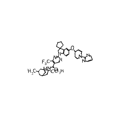 CC1CC2CC(C1)C(NC(=O)c1cnc(N3CC4(CCCC4)c4cc(OC5CCN(c6ncccn6)CC5)ccc43)nc1C(F)(F)F)(C(=O)O)C2